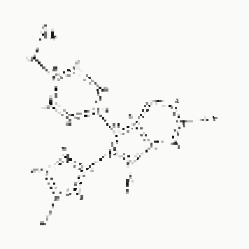 Cc1nc(-c2c(Cl)c3cc(F)ccc3n2-c2ccc(CN)cc2)no1